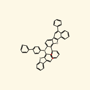 c1ccc(-c2ccc(N(c3ccc4c(oc5c6ccccc6c(-c6ccccc6)cc45)c3-c3ccccc3)c3cccc4c3sc3ccccc34)cc2)cc1